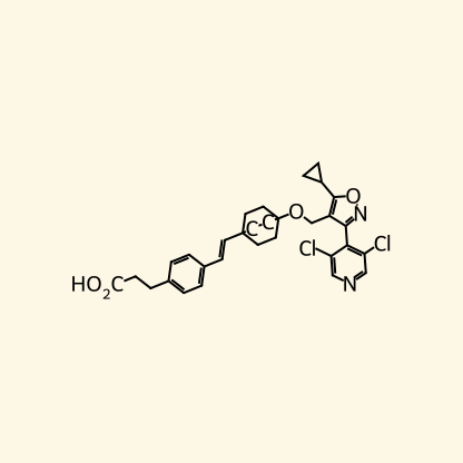 O=C(O)CCc1ccc(/C=C/C23CCC(OCc4c(-c5c(Cl)cncc5Cl)noc4C4CC4)(CC2)CC3)cc1